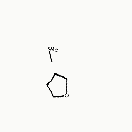 C1CCOC1.CSC